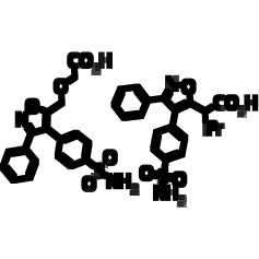 CC(C)C(C(=O)O)c1onc(-c2ccccc2)c1-c1ccc(S(N)(=O)=O)cc1.NS(=O)(=O)c1ccc(-c2c(-c3ccccc3)noc2COCC(=O)O)cc1